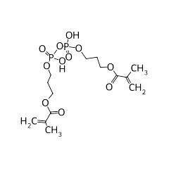 C=C(C)C(=O)OCCCOP(=O)(O)OP(=O)(O)OCCCOC(=O)C(=C)C